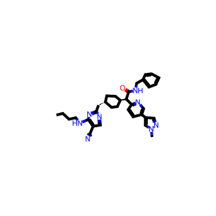 CCCCNc1nc(C[C@H]2CC[C@H](C(C(=O)NCc3ccccc3)c3ccc(-c4cnn(C)c4)cn3)CC2)ncc1C#N